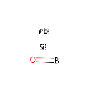 [B]=O.[Pb].[Si]